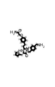 NCc1ccc(CNC(=O)[C@H](Cc2cccs2)NC(=O)[CH]Cc2ccc(OCC(N)=O)cc2)cc1